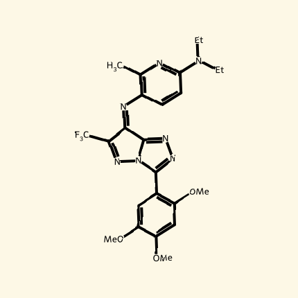 CCN(CC)c1ccc(/N=C2/C(C(F)(F)F)=Nn3c2nnc3-c2cc(OC)c(OC)cc2OC)c(C)n1